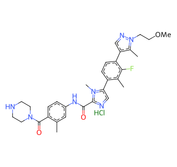 COCCn1ncc(-c2ccc(-c3cnc(C(=O)Nc4ccc(C(=O)N5CCNCC5)c(C)c4)n3C)c(C)c2F)c1C.Cl